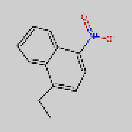 CCc1ccc([N+](=O)[O-])c2ccccc12